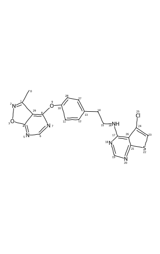 Cc1noc2ncnc(Oc3ccc(CCNc4ncnc5scc(Cl)c45)cc3)c12